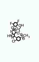 CS(=O)(=O)c1ccc(Cl)c(-c2n[nH]c3nc(Oc4ccc(F)cc4F)nc(OC[C@H](O)CO)c23)c1